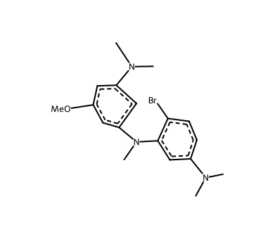 COc1cc(N(C)C)cc(N(C)c2cc(N(C)C)ccc2Br)c1